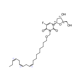 CC/C=C\C/C=C\C/C=C\CCCCCCCCOCn1c(=O)c(F)cn([C@H]2C[C@H](O)[C@@H](CO)O2)c1=O